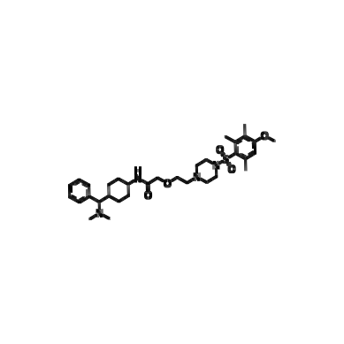 COc1cc(C)c(S(=O)(=O)N2CCN(CCOCC(=O)NC3CCC(C(c4ccccc4)N(C)C)CC3)CC2)c(C)c1C